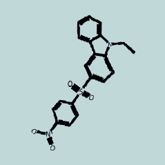 CCn1c2ccccc2c2cc(S(=O)(=O)c3ccc([N+](=O)[O-])cc3)ccc21